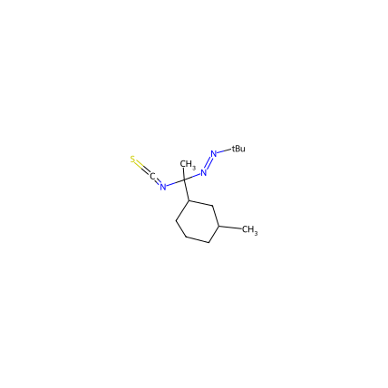 CC1CCCC(C(C)(N=C=S)N=NC(C)(C)C)C1